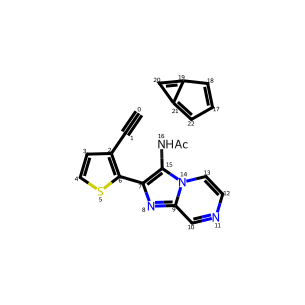 C#Cc1ccsc1-c1nc2cnccn2c1NC(C)=O.c1cc2cc-2c1